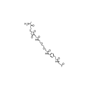 CC(=O)CCNC(=O)CCc1ccc(NC(=O)CCOCCOCCNC(=O)CCN2C(=O)CC(SCCC(=O)C(C)N)C2=O)cc1